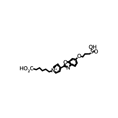 O=C(O)CCCCC[n+]1ccc(-c2nc3ccc(OCCCS(=O)O)cc3o2)cc1